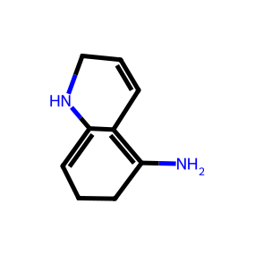 NC1=C2C=CCNC2=CCC1